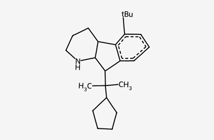 CC(C)(C)c1cccc2c1C1CCCNC1C2C(C)(C)C1CCCC1